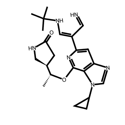 C[C@@H](Oc1nc(/C(C=N)=C/NC(C)(C)C)cc2ncn(C3CC3)c12)[C@H]1CNC(=O)C1